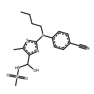 CCCCN(c1ccc(C#N)cc1)c1nc(C(O)NS(C)(=O)=O)c(C)s1